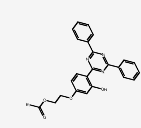 CCC(=O)OCCOc1ccc(-c2nc(-c3ccccc3)nc(-c3ccccc3)n2)c(O)c1